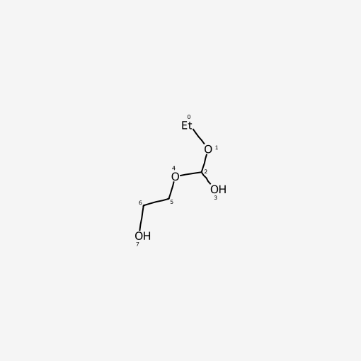 CCOC(O)OCCO